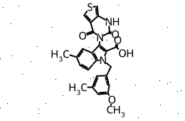 COc1cc(C)cc(Cn2c(C(=O)O)c(-n3c(=O)[nH]c4cscc4c3=O)c3cc(C)ccc32)c1